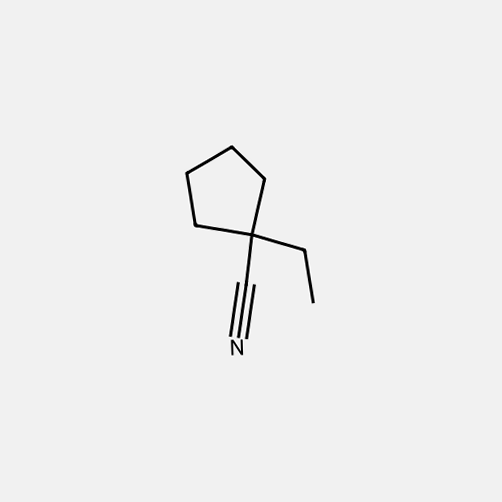 CCC1(C#N)CCCC1